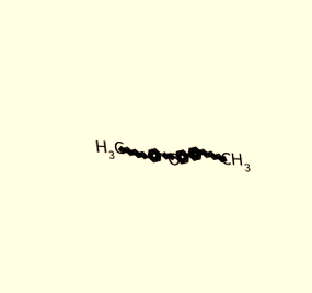 CCCCCCCC[C@H]1CC[C@H](CCCO[C@H]2CC[C@H](c3ccc(CCCCCCC)cc3)CC2)CC1